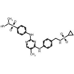 CCCN(C)S(=O)(=O)c1ccc(Nc2ncc(C)c(Nc3ccc(CNS(=O)(=O)C4CC4)cc3)n2)cc1